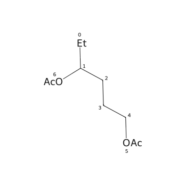 CCC(CCCOC(C)=O)OC(C)=O